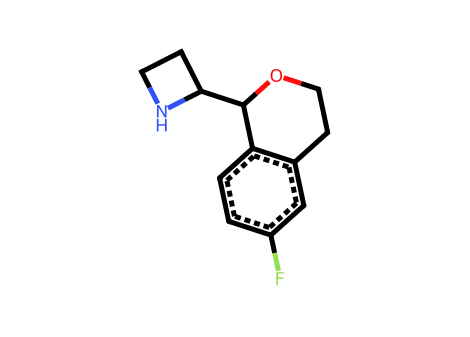 Fc1ccc2c(c1)CCOC2C1CCN1